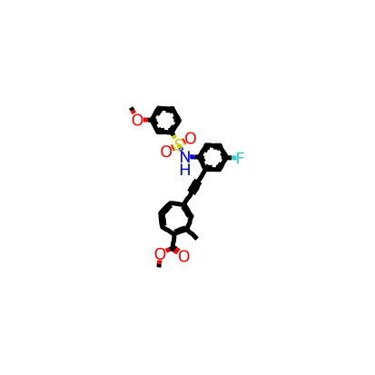 COC(=O)C1=C(C)C=C(C#Cc2cc(F)ccc2NS(=O)(=O)c2cccc(OC)c2)C=C=C1